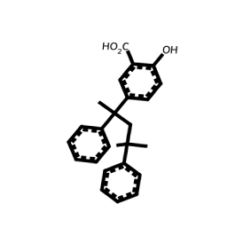 CC(C)(CC(C)(c1ccccc1)c1ccc(O)c(C(=O)O)c1)c1ccccc1